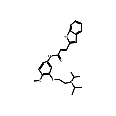 COc1ccc(NC(=O)/C=C/c2cc3ccccc3[nH]2)cc1OCCN(C(C)C)C(C)C